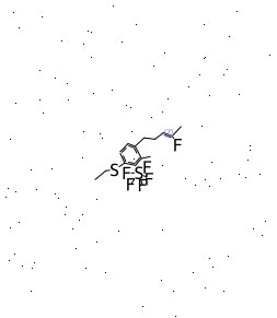 CCSc1ccc(CC/C=C(/C)F)c(C)c1S(F)(F)(F)(F)F